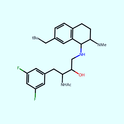 CNC1CCc2ccc(CC(C)(C)C)cc2C1NCC(O)C(Cc1cc(F)cc(F)c1)NC(C)=O